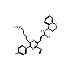 C=Cc1nc(-c2ccc(F)cc2)c(CCCCC(=O)O)nc1/C=C/C(O)NC1CCOc2ccccc21